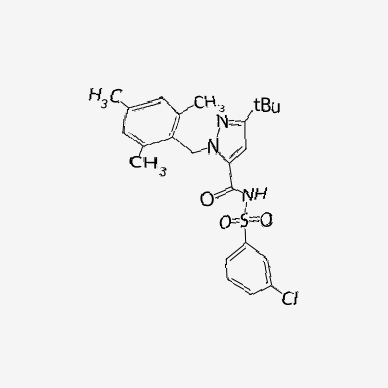 Cc1cc(C)c(Cn2nc(C(C)(C)C)cc2C(=O)NS(=O)(=O)c2cccc(Cl)c2)c(C)c1